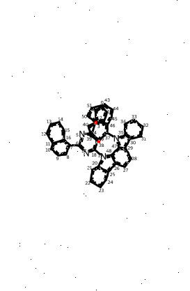 c1ccc(-c2nc(-c3cccc4ccccc34)nc(-n3c4ccccc4c4ccc5c6ccccc6n(-c6cccc7ccccc67)c5c43)n2)cc1